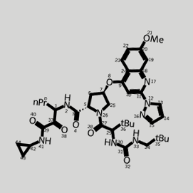 CCCC(NC(=O)[C@@H]1C[C@@H](Oc2cc(-n3cccn3)nc3cc(OC)ccc23)CN1C(=O)C(NC(=O)NCC(C)(C)C)C(C)(C)C)C(=O)C(=O)NC1CC1